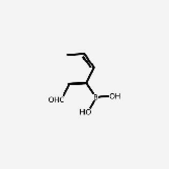 C/C=C\C(CC=O)B(O)O